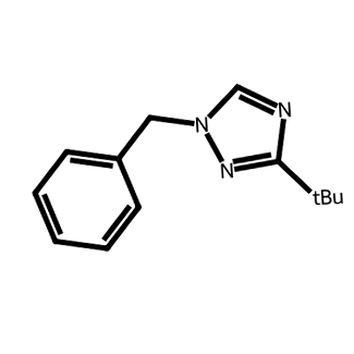 CC(C)(C)c1ncn(Cc2ccccc2)n1